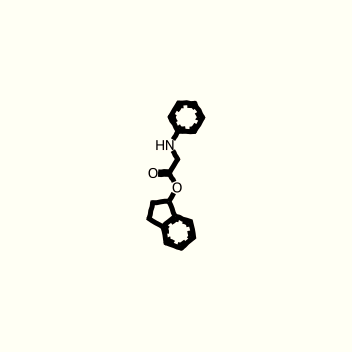 O=C(CNc1ccccc1)OC1CCc2ccccc21